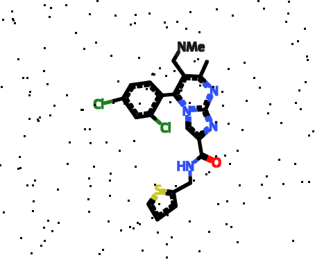 CNCc1c(C)nc2nc(C(=O)NCc3cccs3)cn2c1-c1ccc(Cl)cc1Cl